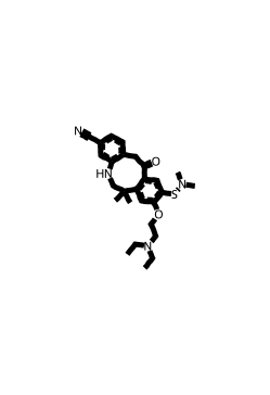 CCN(CC)CCOc1cc2c(cc1SN(C)C)C(=O)Cc1ccc(C#N)cc1NCC2(C)C